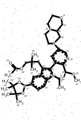 CCn1c(-c2cc(N3CCN4CCOCC4C3)cnc2[C@H](C)OC)c(CC(C)(C)COC(C)=O)c2cc(B3OC(C)(C)C(C)(C)O3)ccc21